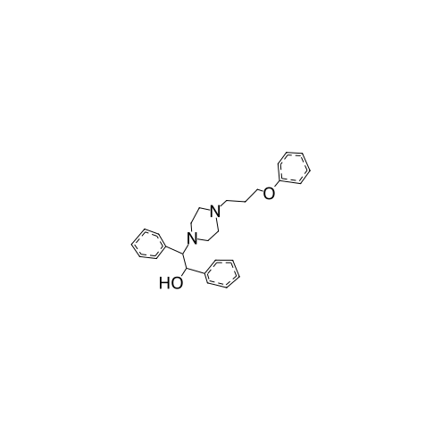 OC(c1ccccc1)C(c1ccccc1)N1CCN(CCCOc2ccccc2)CC1